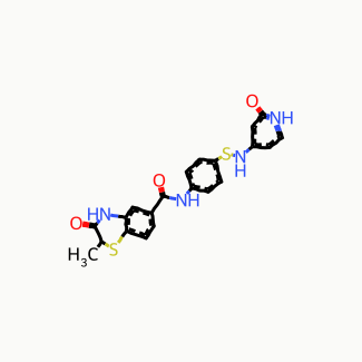 CC1Sc2ccc(C(=O)Nc3ccc(SNc4cc[nH]c(=O)c4)cc3)cc2NC1=O